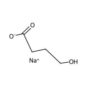 O=C([O-])CCCO.[Na+]